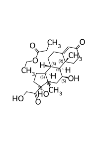 CCOC(=O)CC.C[C@]12CCC(=O)C=C1CC[C@@H]1[C@@H]2[C@@H](O)C[C@@]2(C)[C@H]1CC[C@]2(O)C(=O)CO